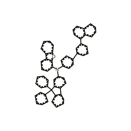 c1ccc(C2(c3ccccc3)c3ccccc3-c3ccc(N(c4ccc(-c5cccc(-c6cccc7ccccc67)c5)cc4)c4cccc5c4oc4ccccc45)cc32)cc1